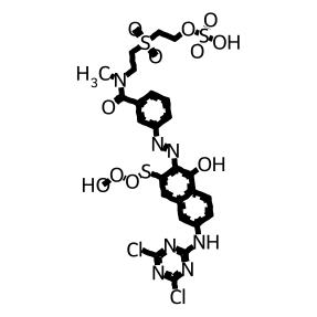 CN(CCS(=O)(=O)CCOS(=O)(=O)O)C(=O)c1cccc(/N=N/c2c(SOOO)cc3cc(Nc4nc(Cl)nc(Cl)n4)ccc3c2O)c1